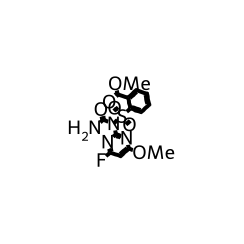 COC(=O)c1ccccc1S(=O)(=O)N(C(N)=O)c1nc(F)cc(OC)n1